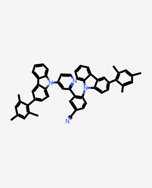 Cc1cc(C)c(-c2ccc3c(c2)c2ccccc2n3-c2ccnc(-c3cc(C#N)ccc3-n3c4ccccc4c4cc(-c5c(C)cc(C)cc5C)ccc43)c2)c(C)c1